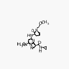 CNc1cc(Nc2cccn(CCOC)c2=O)nc2c(C(=O)NC3CC3)cnn12